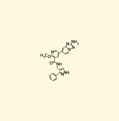 COc1ncc(-c2ccn3nc(N)nc3c2)cc1C(=O)NCc1c[nH]nc1-c1ccccc1